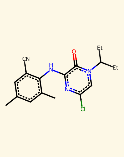 CCC(CC)n1cc(Cl)nc(Nc2c(C)cc(C)cc2C#N)c1=O